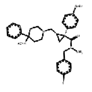 COc1ccc([C@]2(C(=O)N(C)Cc3ccc(F)cc3)C[C@H]2CN2CCC(NC(C)=O)(c3ccccc3)CC2)cc1